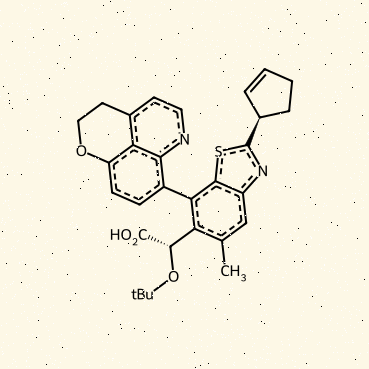 Cc1cc2nc([C@H]3C=CCC3)sc2c(-c2ccc3c4c(ccnc24)CCO3)c1[C@H](OC(C)(C)C)C(=O)O